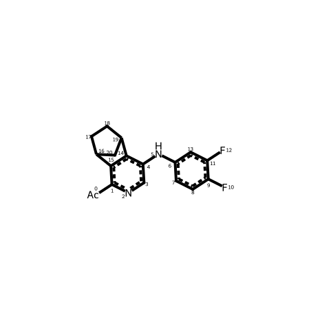 CC(=O)c1ncc(Nc2ccc(F)c(F)c2)c2c1C1CCC2C1